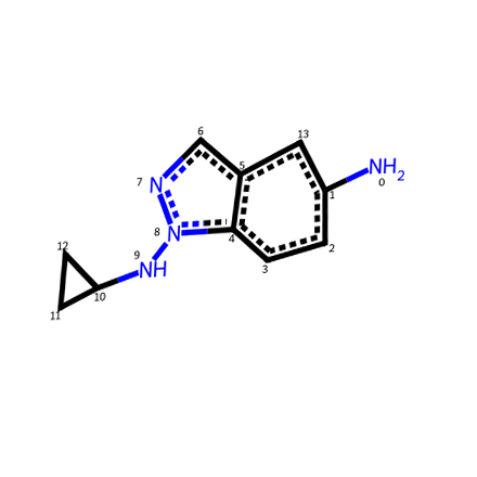 Nc1ccc2c(cnn2NC2CC2)c1